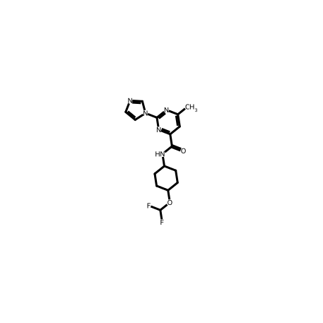 Cc1cc(C(=O)NC2CCC(OC(F)F)CC2)nc(-n2ccnc2)n1